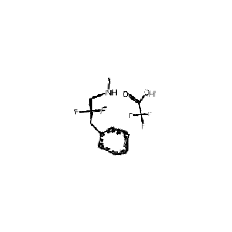 CNCC(F)(F)Cc1ccccc1.O=C(O)C(F)(F)F